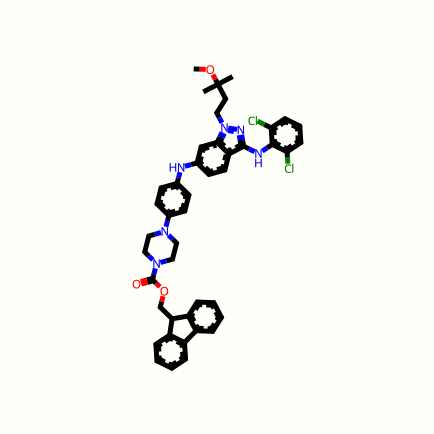 COC(C)(C)CCn1nc(Nc2c(Cl)cccc2Cl)c2ccc(Nc3ccc(N4CCN(C(=O)OCC5c6ccccc6-c6ccccc65)CC4)cc3)cc21